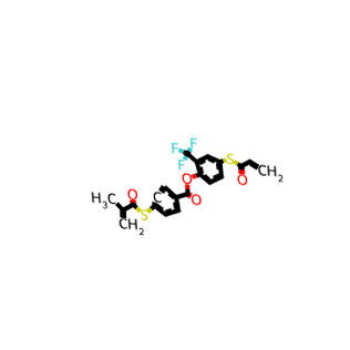 C=CC(=O)Sc1ccc(OC(=O)c2ccc(SC(=O)C(=C)C)cc2)c(C(F)(F)F)c1